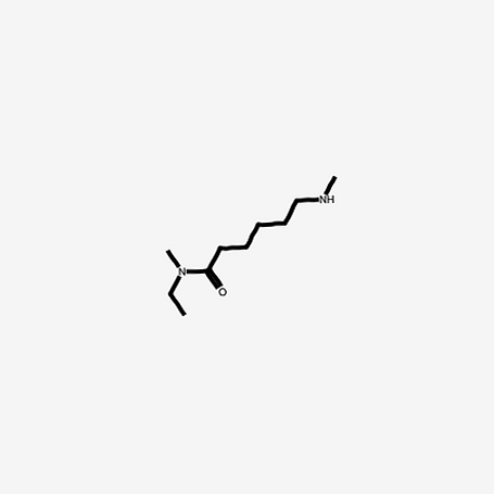 CCN(C)C(=O)CCCCCNC